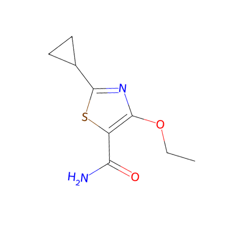 CCOc1nc(C2CC2)sc1C(N)=O